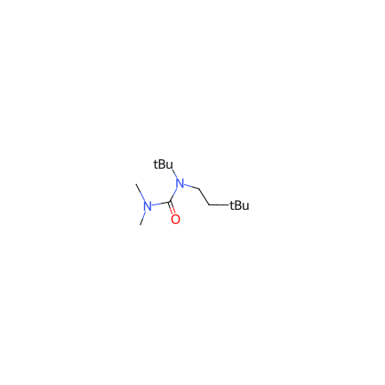 CN(C)C(=O)N(CCC(C)(C)C)C(C)(C)C